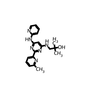 Cc1cccc(-c2nc(NCC(C)(C)O)cc(Nc3ccccn3)n2)n1